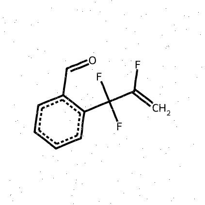 C=C(F)C(F)(F)c1ccccc1C=O